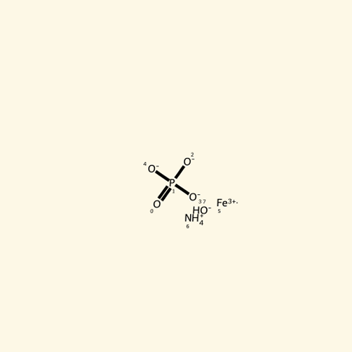 O=P([O-])([O-])[O-].[Fe+3].[NH4+].[OH-]